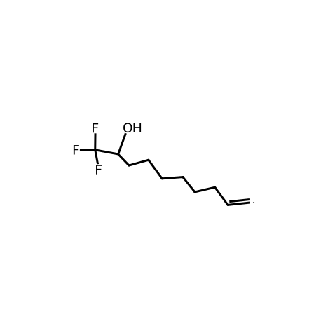 [CH]=CCCCCCCC(O)C(F)(F)F